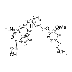 C=CCc1ccc(OCCN[C@H](C)Cc2cc(C(N)=O)c3c(ccn3CCCO)c2)c(OC)c1